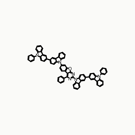 c1ccc(-c2nc(-n3c4ccccc4c4cc(-c5ccc6c(c5)c5ccccc5n6-c5ccccc5)ccc43)nc3oc4cc(-n5c6ccccc6c6cc(-c7ccc8c(c7)c7ccccc7n8-c7ccccc7)ccc65)ccc4c23)cc1